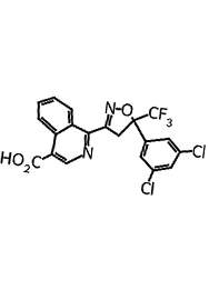 O=C(O)c1cnc(C2=NOC(c3cc(Cl)cc(Cl)c3)(C(F)(F)F)C2)c2ccccc12